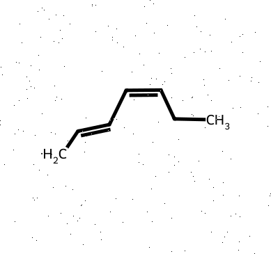 [CH2]/C=C/C=C\CC